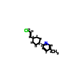 Cc1ccc([C@H]2CC[C@H](/C=C/Cl)CC2)nc1